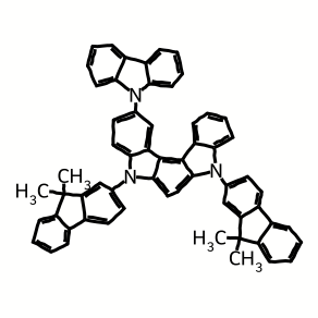 CC1(C)c2ccccc2-c2ccc(-n3c4ccccc4c4c5c6cc(-n7c8ccccc8c8ccccc87)ccc6n(-c6ccc7c(c6)C(C)(C)c6ccccc6-7)c5ccc43)cc21